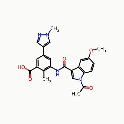 COc1ccc2c(c1)c(C(=O)Nc1cc(-c3cnn(C)c3)cc(C(=O)O)c1C)cn2C(C)=O